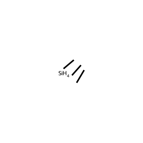 CC.CC.CC.[SiH4]